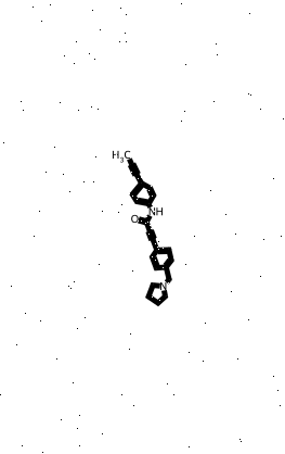 CC#Cc1ccc(NC(=O)C#Cc2ccc(CN3CCCC3)cc2)cc1